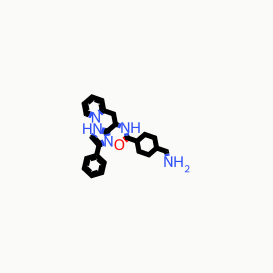 NCC1CCC(C(=O)NC(Cc2ccccn2)c2nc(-c3ccccc3)c[nH]2)CC1